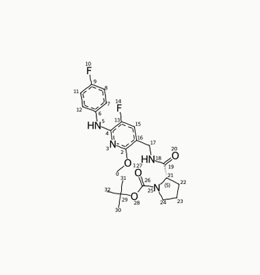 COc1nc(Nc2ccc(F)cc2)c(F)cc1CNC(=O)[C@@H]1CCCN1C(=O)OC(C)(C)C